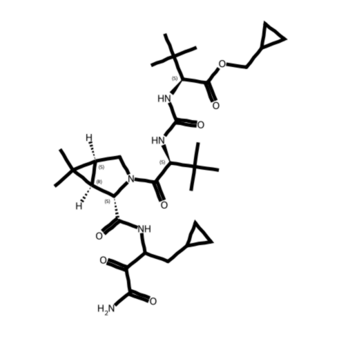 CC(C)(C)[C@H](NC(=O)N[C@H](C(=O)N1C[C@H]2[C@@H]([C@H]1C(=O)NC(CC1CC1)C(=O)C(N)=O)C2(C)C)C(C)(C)C)C(=O)OCC1CC1